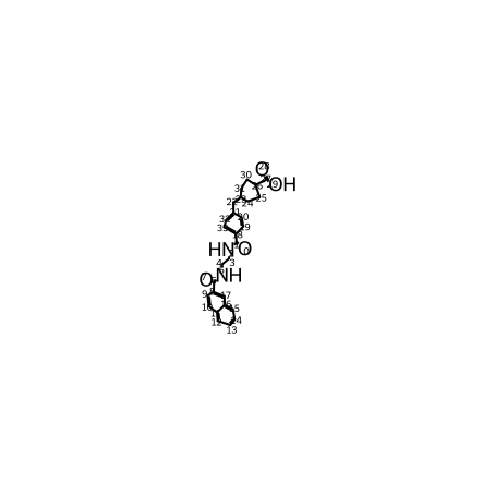 O=C(NCCNC(=O)c1ccc2ccccc2c1)c1ccc(CC2CCC(C(=O)O)CC2)cc1